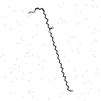 CCCCC/C=C\C/C=C\CCCCCCCC(=O)OCCCCCCCCCCCCCCCCCCCCCCCCCCC(C)CC